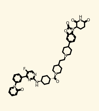 O=C1CCC(n2c(=O)oc3cc(C4CCN(CCC5CCN(C(=O)[C@H]6CC[C@H](Nc7ncc(F)c(-c8cccc(-n9ccccc9=O)c8)n7)CC6)CC5)CC4)ccc32)C(=O)N1